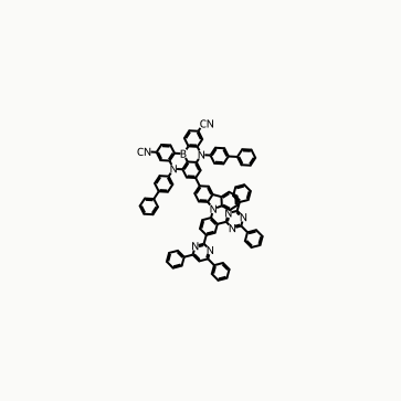 [C-]#[N+]c1ccc2c(c1)N(c1ccc(-c3ccccc3)cc1)c1cc(-c3ccc4c(c3)c3ccccc3n4-c3ccc(-c4nc(-c5ccccc5)cc(-c5ccccc5)n4)cc3-c3nc(-c4ccccc4)nc(-c4ccccc4)n3)cc3c1B2c1ccc(C#N)cc1N3c1ccc(-c2ccccc2)cc1